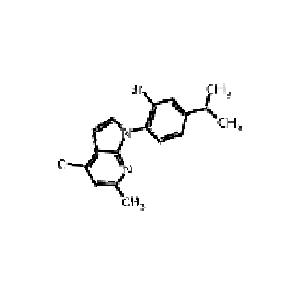 Cc1cc(Cl)c2ccn(-c3ccc(C(C)C)cc3Br)c2n1